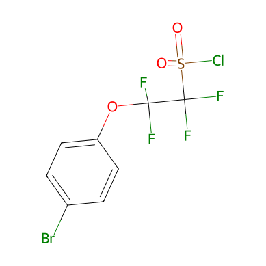 O=S(=O)(Cl)C(F)(F)C(F)(F)Oc1ccc(Br)cc1